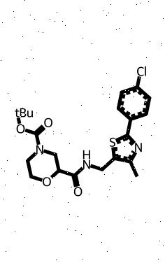 Cc1nc(-c2ccc(Cl)cc2)sc1CNC(=O)C1CN(C(=O)OC(C)(C)C)CCO1